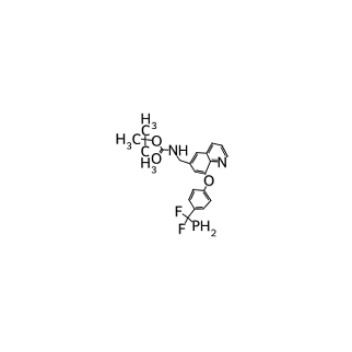 CC(C)(C)OC(=O)NCc1cc(Oc2ccc(C(F)(F)P)cc2)c2ncccc2c1